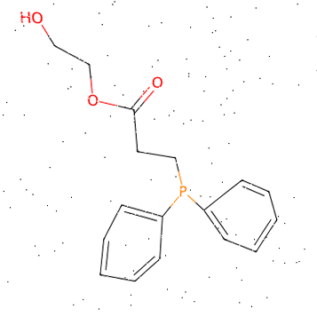 O=C(CCP(c1ccccc1)c1ccccc1)OCCO